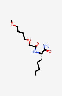 CCCCC[C@H](NC(=O)COCCCCOC)C(N)=O